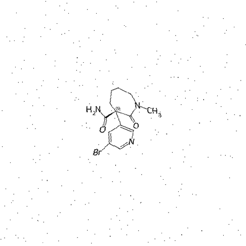 CN1CCCC[C@@](C(N)=O)(c2cncc(Br)c2)C1=O